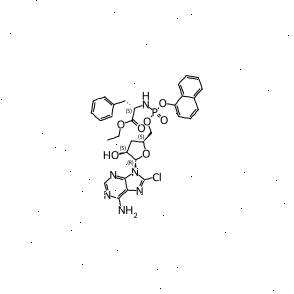 CCOC(=O)[C@H](Cc1ccccc1)NP(=O)(OC[C@@H]1C[C@H](O)[C@H](n2c(Cl)nc3c(N)ncnc32)O1)Oc1cccc2ccccc12